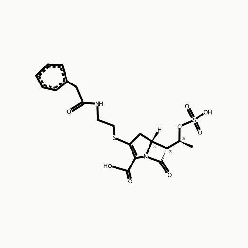 C[C@H](OS(=O)(=O)O)[C@@H]1C(=O)N2C(C(=O)O)=C(SCCNC(=O)Cc3ccccc3)C[C@H]12